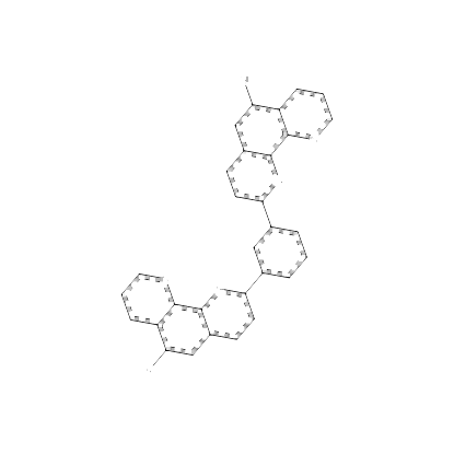 Nc1cc2ccc(-c3cccc(-c4ccc5cc(N)c6cccnc6c5n4)c3)nc2c2ncccc12